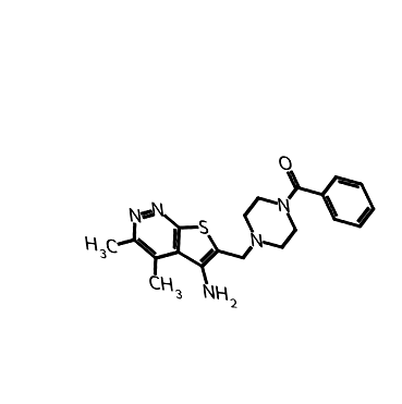 Cc1nnc2sc(CN3CCN(C(=O)c4ccccc4)CC3)c(N)c2c1C